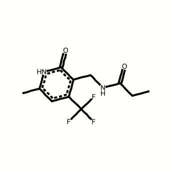 CCC(=O)NCc1c(C(F)(F)F)cc(C)[nH]c1=O